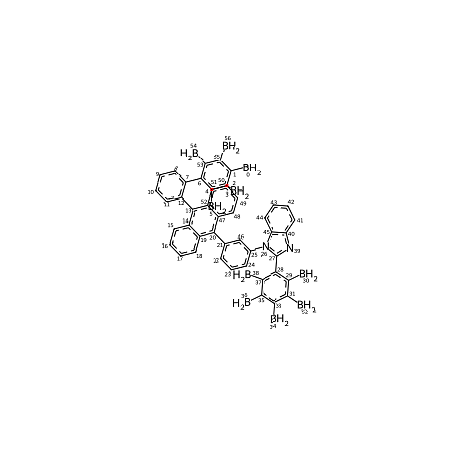 Bc1c(B)c(B)c(-c2ccccc2-c2c3ccccc3c(-c3cccc(-n4c(-c5c(B)c(B)c(B)c(B)c5B)nc5ccccc54)c3)c3ccccc23)c(B)c1B